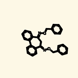 c1ccc(CON=C2CC(=NOCc3ccccc3)c3ccccc3-c3ccccc32)cc1